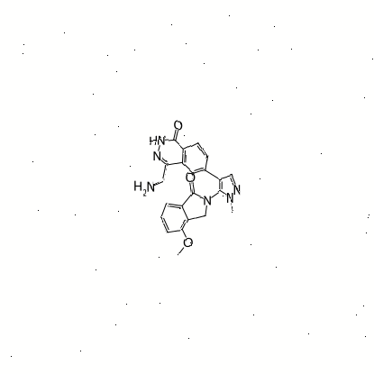 COc1cccc2c1CN(c1c(-c3ccc4c(=O)[nH]nc(CN)c4c3)cnn1C)C2=O